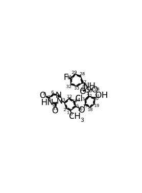 Cc1cc(-n2ncc(=O)[nH]c2=O)cc(Cl)c1Oc1ccc(O)c(S(=O)(=O)Nc2ccc(F)cc2)c1